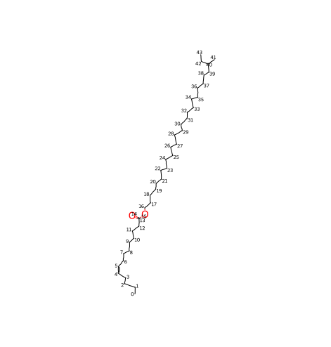 CCCC/C=C\CCCCCCCC(=O)OCCCCCCCCCCCCCCCCCCCCCCCCC(C)CC